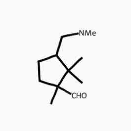 CNCC1CCC(C)(C=O)C1(C)C